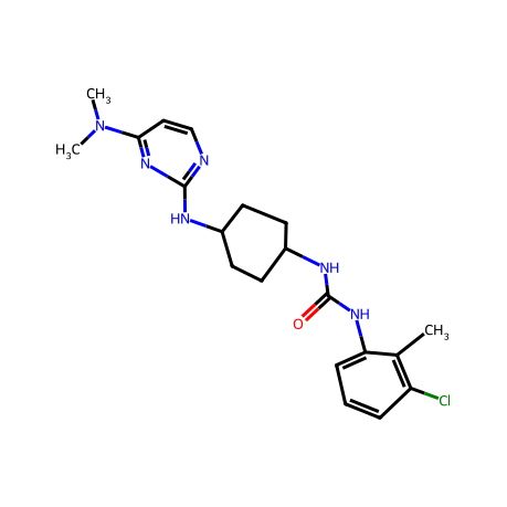 Cc1c(Cl)cccc1NC(=O)NC1CCC(Nc2nccc(N(C)C)n2)CC1